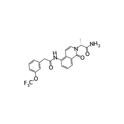 C[C@H](C(N)=O)n1ccc2c(NC(=O)Cc3cccc(OC(F)(F)F)c3)cccc2c1=O